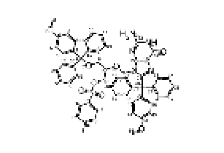 COc1ccc(C(OCC(COS(=O)(=O)c2ccc(C)cc2)OCn2c(C(c3ccccc3)(c3ccccc3)c3ccc(OC)cc3)nc3c(=O)[nH]c(N)nc32)(c2ccccc2)c2ccccc2)cc1